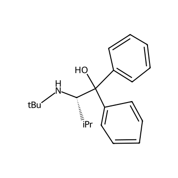 CC(C)[C@H](NC(C)(C)C)C(O)(c1ccccc1)c1ccccc1